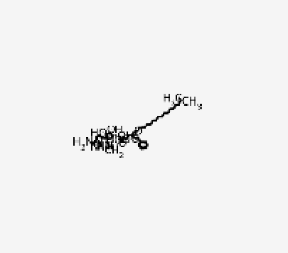 C=NC[C@@]1(c2ccc3c(N)ncnn23)O[C@H](COP(=O)(O)OC[C@@H](COCCCCCCCCCCCCCCC(C)C)OCc2ccccc2)[C@@H](O)[C@H]1O